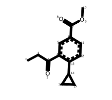 CCC(=O)c1cc(C(=O)OC)ccc1C1CC1